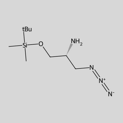 CC(C)(C)[Si](C)(C)OC[C@H](N)CN=[N+]=[N-]